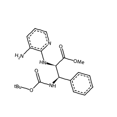 COC(=O)[C@H](Nc1ncccc1N)[C@H](NC(=O)OC(C)(C)C)c1ccccc1